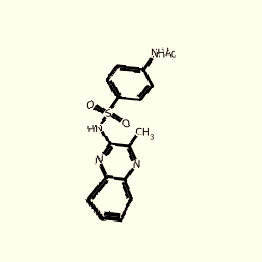 CC(=O)Nc1ccc(S(=O)(=O)Nc2nc3ccccc3nc2C)cc1